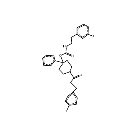 O=C(NCCc1cccc(F)c1)OC1(c2ccccc2)CCN(C(=O)CCc2ccc(F)cc2)CC1